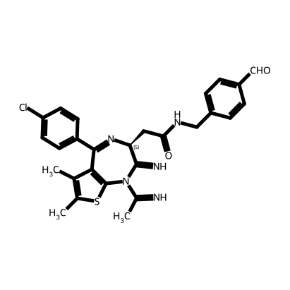 CC(=N)N1C(=N)[C@H](CC(=O)NCc2ccc(C=O)cc2)N=C(c2ccc(Cl)cc2)c2c1sc(C)c2C